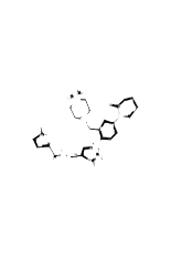 O=C(NCc1cn(-c2ccc(-n3ccccc3=O)cc2CN2CCS(=O)(=O)CC2)nn1)c1ccc(Cl)s1